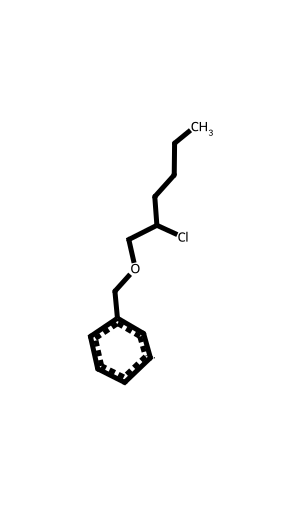 CCCCC(Cl)COCc1c[c]ccc1